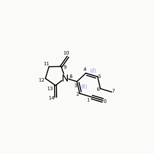 C#C/C=C(\C=C/CC)N1C(=C)CCC1=C